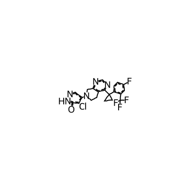 O=c1[nH]ncc(N2CCc3c(ncnc3C3(c4ccc(F)cc4C(F)(F)F)CC3)C2)c1Cl